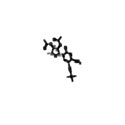 CC(=O)O[C@@H]1[C@H](OC(C)=O)[C@@H](C)O[C@H]1n1cc(C#C[Si](C)(C)C)c(N)nc1=O